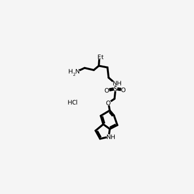 CCC(CCN)CCNS(=O)(=O)COc1ccc2[nH]ccc2c1.Cl